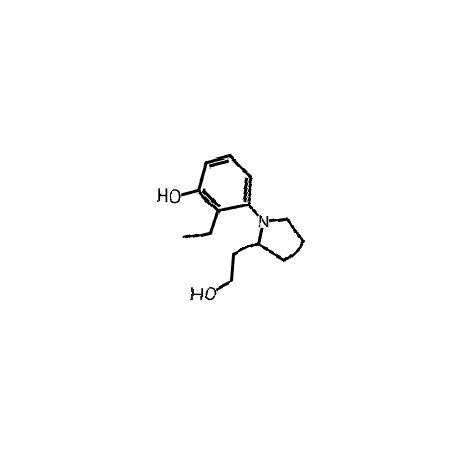 CCc1c(O)cccc1N1CCCC1CCO